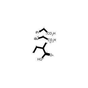 CC(C)CC(=O)O.CCC(C)C(=O)O.CCC(C)CC(=O)O